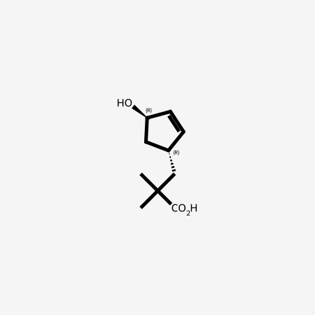 CC(C)(C[C@H]1C=C[C@H](O)C1)C(=O)O